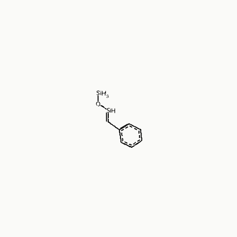 [SiH3]O[SiH]=Cc1ccccc1